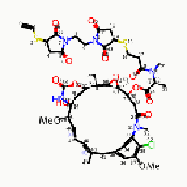 C=CSC1CC(=O)N(CCN2C(=O)CC(SCCC(=O)N(C)[C@@H](C)C(=O)O[C@H]3CC(=O)N(C)c4cc(cc(OC)c4Cl)C/C(C)=C/C=C/[C@@H](OC)[C@@]4(O)CC(OC(=O)N4)[C@@H](C)C4O[C@]43C)C2=O)C1=O